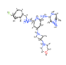 Fc1ccc(CNc2cc(N3CC(N4CCOCC4)C3)cc(Nc3cnccn3)n2)cc1